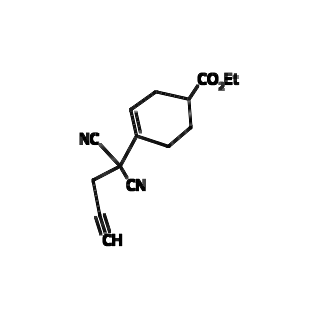 C#CCC(C#N)(C#N)C1=CCC(C(=O)OCC)CC1